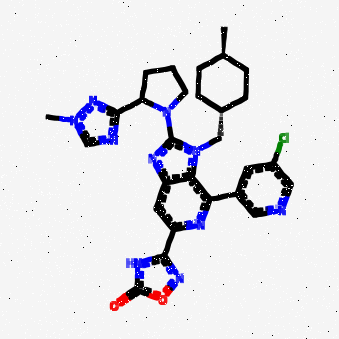 Cn1cnc(C2CCCN2c2nc3cc(-c4noc(=O)[nH]4)nc(-c4cncc(Cl)c4)c3n2C[C@H]2CC[C@H](C)CC2)n1